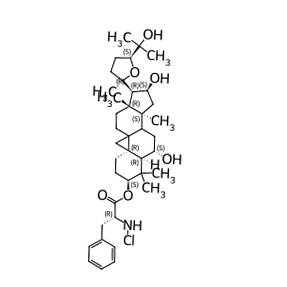 CC(C)(O)[C@@H]1CC[C@](C)([C@H]2[C@@H](O)C[C@@]3(C)C4C[C@H](O)[C@H]5C(C)(C)[C@@H](OC(=O)[C@@H](Cc6ccccc6)NCl)CC[C@@]56CC46CC[C@]23C)O1